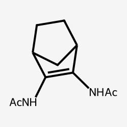 CC(=O)NC1=C(NC(C)=O)C2CCC1C2